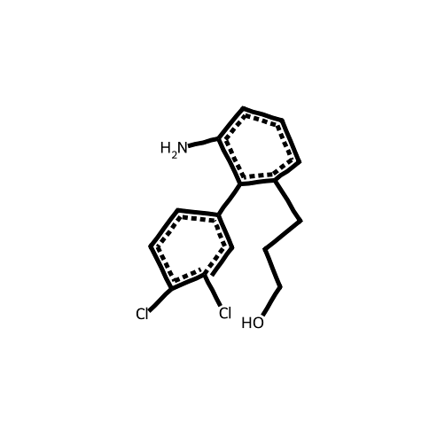 Nc1cccc(CCCO)c1-c1ccc(Cl)c(Cl)c1